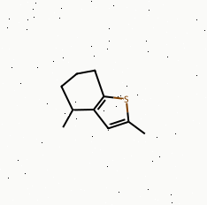 Cc1[c]c2c(s1)CCCC2C